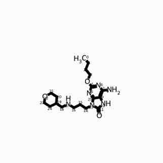 CCCCOc1nc(N)c2[nH]c(=O)n(CCCNCC3CCOCC3)c2n1